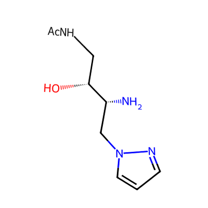 CC(=O)NC[C@@H](O)[C@H](N)Cn1cccn1